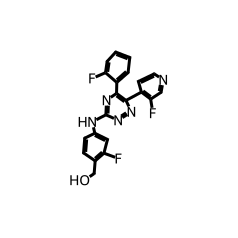 OCc1ccc(Nc2nnc(-c3ccncc3F)c(-c3ccccc3F)n2)cc1F